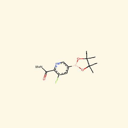 CNC(=O)c1ncc(B2OC(C)(C)C(C)(C)O2)cc1F